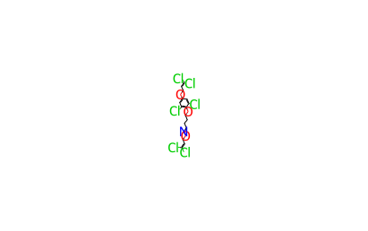 ClC(Cl)=CCO/N=C/CCCOc1c(Cl)cc(OCC=C(Cl)Cl)cc1Cl